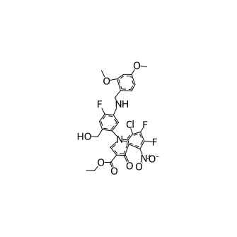 CCOC(=O)c1cn(-c2cc(NCc3ccc(OC)cc3OC)c(F)cc2CO)c2c(Cl)c(F)c(F)c([N+](=O)[O-])c2c1=O